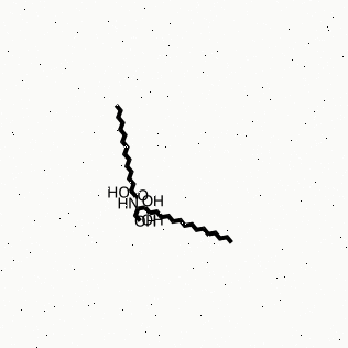 CCCCCCCCCCCCCCC(O)C(=O)NC(CO)C(O)C(O)CCCCCCCCCCCCCC